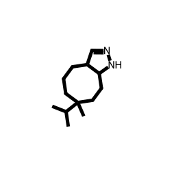 CC(C)C1(C)CCCC2C=NNC2CC1